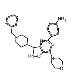 Nc1ccc(-c2nc3c(c(N4CCOCC4)n2)ONC3C2CCN(Cc3ccccc3)CC2)cc1